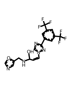 OC(/C=C\n1cnc(-c2cc(C(F)(F)F)cc(C(F)(F)F)c2)n1)NCc1cnco1